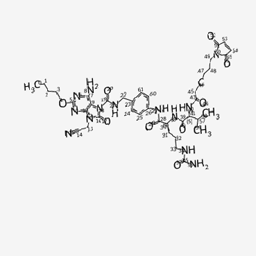 CCCCOc1nc(N)c2c(n1)n(CC#N)c(=O)n2C(=O)NCc1ccc(NC(=O)[C@H](CCCNC(N)=O)NC(=O)[C@@H](NC(=O)CCCCCN2C(=O)C=CC2=O)C(C)C)cc1